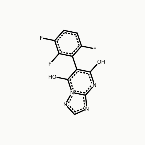 Oc1nc2ncnn2c(O)c1-c1c(F)ccc(F)c1F